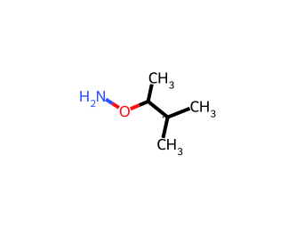 C[C](C)C(C)ON